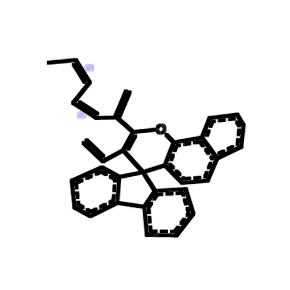 C=CC1=C(C(=C)/C=C\C=C/C)Oc2c(ccc3ccccc23)C12c1ccccc1-c1ccccc12